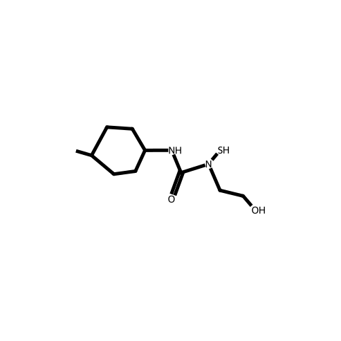 CC1CCC(NC(=O)N(S)CCO)CC1